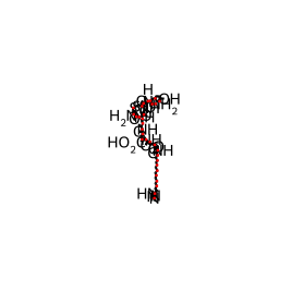 NC(=O)[C@H](Cc1ccc(O)cc1)NCC(=O)[C@@H]1CSSC[C@H](N)C(=O)N[C@@H](CCCCNC(=O)CCC(NC(=O)CCCS(=O)(=O)NC(=O)CCCCCCCCCCCCCCCc2nnn[nH]2)C(=O)O)C(=O)CN1